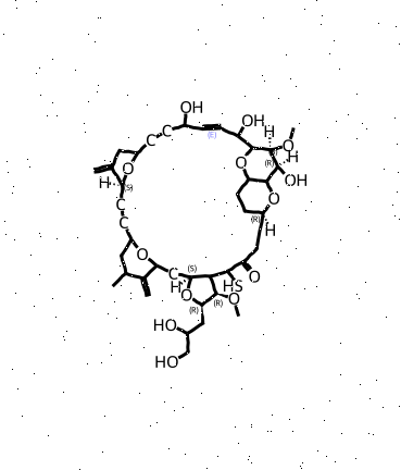 C=C1C(C)CC2CC[C@@H]3OC(CCC(O)/C=C/C(O)C4OC5CC[C@H](CC(=O)C(S)C6[C@H](CC1O2)O[C@H](CC(O)CO)[C@@H]6OC)OC5[C@H](O)[C@@H]4OC)CC3=C